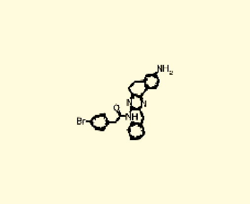 Nc1ccc2c(c1)CCc1nc(NC(=O)Cc3ccc(Br)cc3)c(Cc3ccccc3)nc1-2